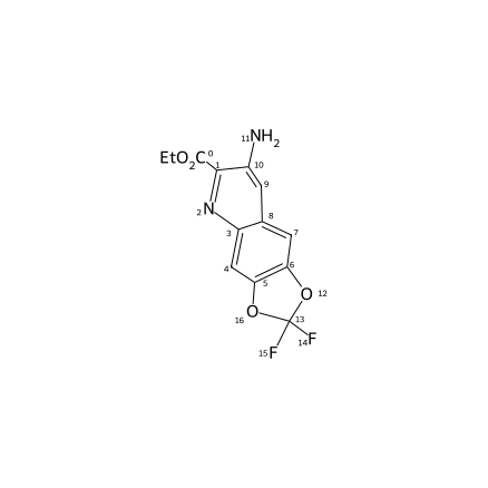 CCOC(=O)c1nc2cc3c(cc2cc1N)OC(F)(F)O3